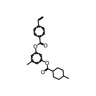 C=Cc1ccc(C(=O)Oc2cc(C)cc(OC(=O)C3CCC(C)CC3)c2)cc1